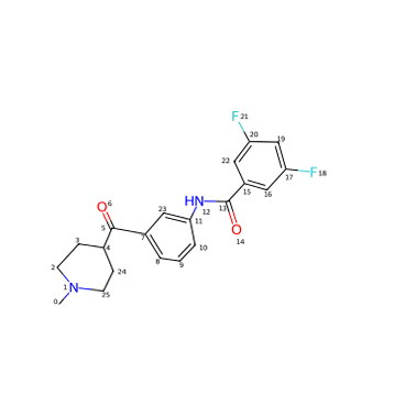 CN1CCC(C(=O)c2cccc(NC(=O)c3cc(F)cc(F)c3)c2)CC1